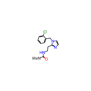 CNC(=O)NCCc1nccn1Cc1ccccc1Cl